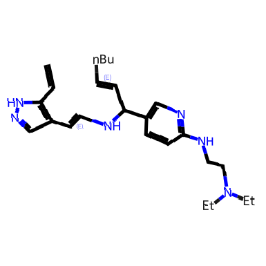 C=Cc1[nH]ncc1/C=C/NC(/C=C/CCCC)c1ccc(NCCN(CC)CC)nc1